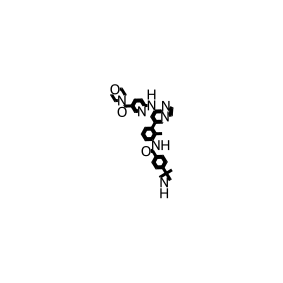 Cc1c(NC(=O)c2ccc(C3(C)CNC3)cc2)cccc1-c1cc(Nc2ccc(C(=O)N3CCOCC3)cn2)c2nccn2c1